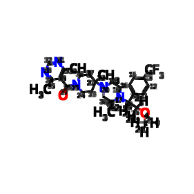 [2H]C([2H])([2H])OC([2H])([2H])[C@@]([2H])(c1ccc(C(F)(F)F)cc1)N1CCN(C2(C)CCN(C(=O)c3c(C)ncnc3C)CC2)C[C@@H]1C